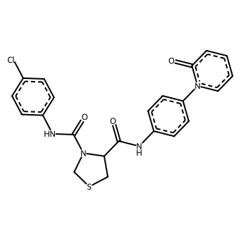 O=C(Nc1ccc(-n2ccccc2=O)cc1)C1CSCN1C(=O)Nc1ccc(Cl)cc1